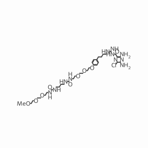 COCCOCCOCCNC(=O)NCCCCNC(=O)NCCOCCOCCOc1ccc(CCCCNC(=N)NC(=O)c2nc(Cl)c(N)nc2N)cc1